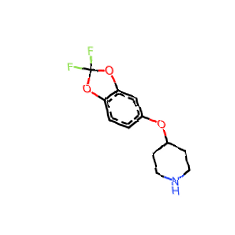 FC1(F)Oc2ccc(OC3CCNCC3)cc2O1